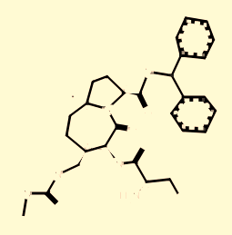 CC[C@H](N)C(=O)N[C@@H]1C(=O)N2[C@@H](CC[C@@H]1CNC(=O)NC)CC[C@H]2C(=O)NC(c1ccccc1)c1ccccc1